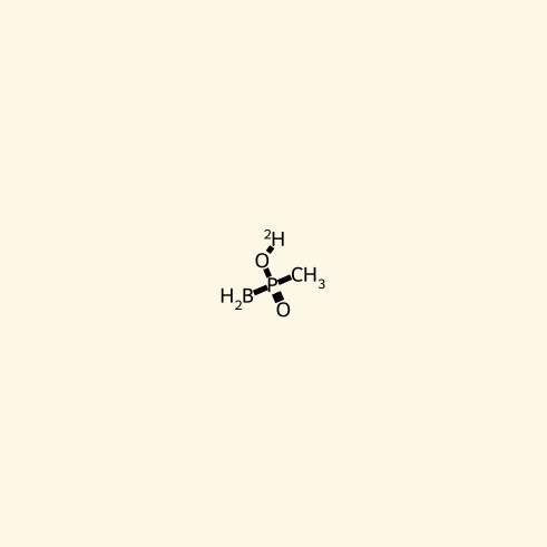 [2H]OP(B)(C)=O